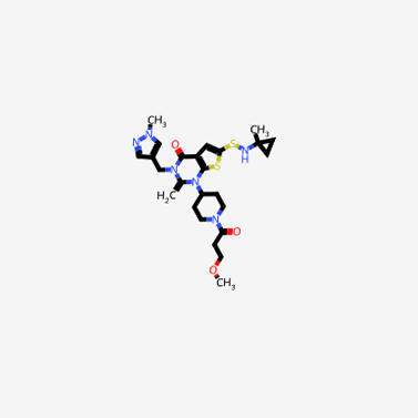 C=C1N(Cc2cnn(C)c2)C(=O)c2cc(SNC3(C)CC3)sc2N1C1CCN(C(=O)CCOC)CC1